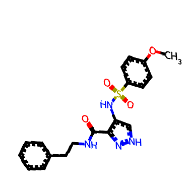 COc1ccc(S(=O)(=O)Nc2c[nH]nc2C(=O)NCCc2ccccc2)cc1